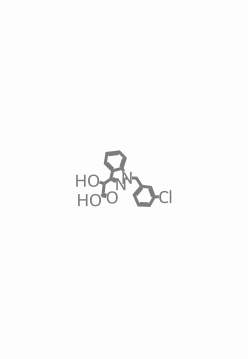 O=C(O)C(O)c1nn(Cc2cccc(Cl)c2)c2ccccc12